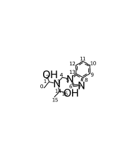 CC(O)N(Cn1cnc2ccccc21)C(C)O